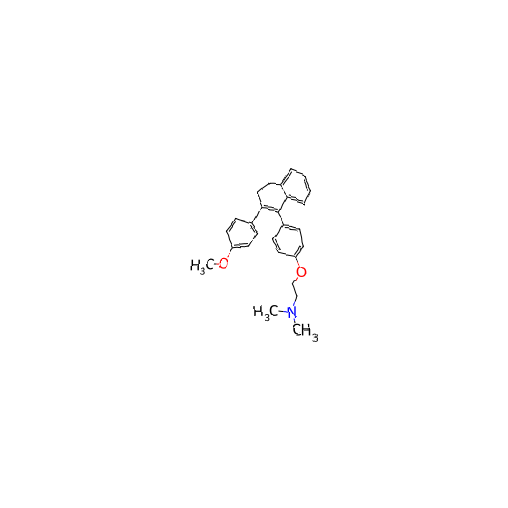 COc1ccc(C2=C(c3ccc(OCCN(C)C)cc3)c3ccccc3CC2)cc1